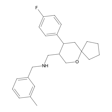 Cc1cccc(CNCC2COC3(CCCC3)CC2c2ccc(F)cc2)c1